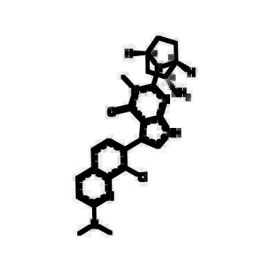 CN(C)c1ccc2ccc(-c3c[nH]c4nc(N5[C@H]6CC[C@@H]5[C@H](N)C6)n(C)c(=O)c34)c(Cl)c2n1